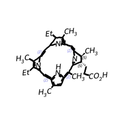 CCC1=C(C)/C2=C/C3NC(=C(C)C3CC)/C=C3N=C(/C(C)=c4/cc(C)/c([nH]4)=C/C1=N2)[C@@H](CCC(=O)O)[C@@H]\3C